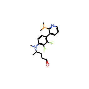 CC(CCC=O)N(C)c1ccc(-c2cccnc2P(C)C)c(F)c1F